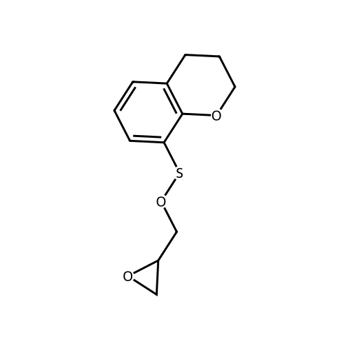 c1cc2c(c(SOCC3CO3)c1)OCCC2